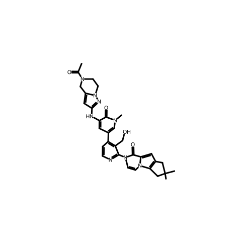 CC(=O)N1CCn2nc(Nc3cc(-c4ccnc(-n5ccn6c7c(cc6c5=O)CC(C)(C)C7)c4CO)cn(C)c3=O)cc2C1